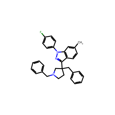 Cc1ccc2c(C3(Cc4ccccc4)CCN(Cc4ccccc4)C3)nn(-c3ccc(F)cc3)c2c1